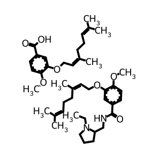 CCN1CCCC1CNC(=O)c1ccc(OC)c(OCC=C(C)CCC=C(C)C)c1.COc1ccc(C(=O)O)cc1OCC=C(C)CCC=C(C)C